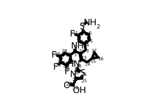 N=C(/C(Cc1ccc(SN)c(F)c1)=C(/CC1CC1)Nc1nc(C(=O)O)cs1)c1cc(F)c(F)c(F)c1